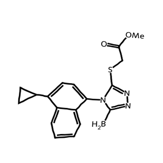 Bc1nnc(SCC(=O)OC)n1-c1ccc(C2CC2)c2ccccc12